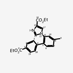 CCOC(=O)c1ccc(-c2ccc(C)cc2-n2cnc(C(=O)OCC)c2)cc1